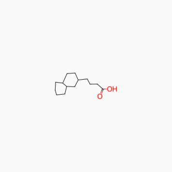 O=C(O)CCCC1CCC2CCCCC2C1